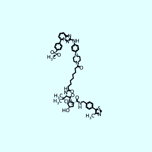 Cc1ncsc1-c1ccc(CNC(=O)[C@@H]2C[C@@H](O)CN2C(=O)[C@@H](NC(=O)CCCCCCCC(=O)N2CCN(c3ccc(Nc4nc5cccc(-c6ccc(S(C)(=O)=O)cc6)n5n4)cc3)CC2)C(C)(C)C)cc1